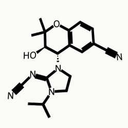 CC(C)N1CCN([C@H]2c3cc(C#N)ccc3OC(C)(C)[C@@H]2O)/C1=N/C#N